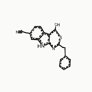 N#Cc1ccc2c(c1)[nH]c1nc(Cc3ccccc3)nc(O)c12